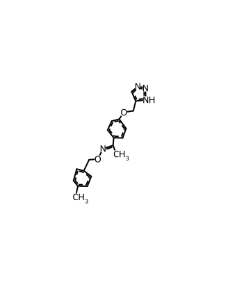 C/C(=N\OCc1ccc(C)cc1)c1ccc(OCc2cnn[nH]2)cc1